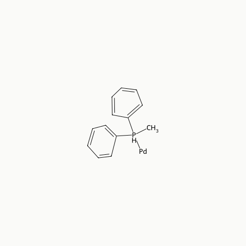 C[PH]([Pd])(c1ccccc1)c1ccccc1